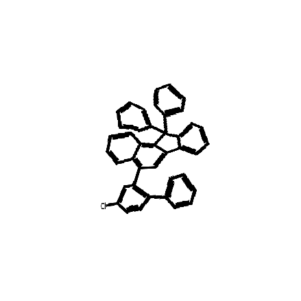 Clc1ccc(-c2ccccc2)c(-c2cc3c(c4ccccc24)C(c2ccccc2)(c2ccccc2)c2ccccc2-3)c1